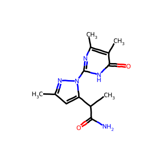 Cc1cc(C(C)C(N)=O)n(-c2nc(C)c(C)c(=O)[nH]2)n1